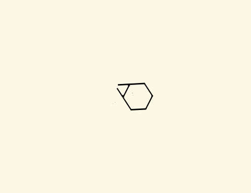 O=C(O)[C@@]12CCCC[C@]1(C(=O)O)O2